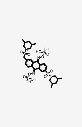 CC1CC(C)CN(S(=O)(=O)Cc2ccc3c(c2)/C(=N/OP(=O)(O)O)c2ccc(S(=O)(=O)N4CC(C)CC(C)C4)cc2/C3=N/OP(=O)(O)O)C1